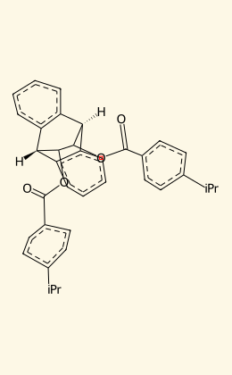 CC(C)c1ccc(C(=O)OC2C(OC(=O)c3ccc(C(C)C)cc3)[C@H]3c4ccccc4[C@H]2c2ccccc23)cc1